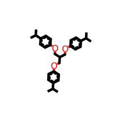 CC(C)c1ccc(OCC(COc2ccc(C(C)C)cc2)COc2ccc(C(C)C)cc2)cc1